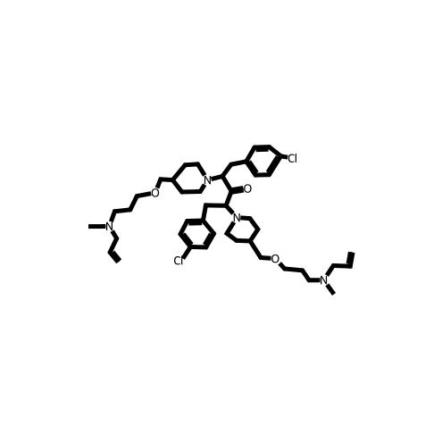 C=CCN(C)CCCOCC1CCN(C(Cc2ccc(Cl)cc2)C(=O)C(Cc2ccc(Cl)cc2)N2CCC(COCCCN(C)CC=C)CC2)CC1